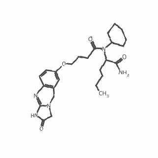 CCCCC(C(N)=O)N(C(=O)CCCOc1ccc2c(c1)CN1CC(=O)NC1=N2)C1CCCCC1